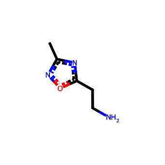 Cc1noc(CCN)n1